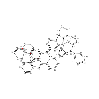 c1ccc(-c2cccc(-c3ccccc3N(c3ccc4c(c3)C3(c5ccccc5-4)c4ccccc4N(c4ccccc4)c4ccccc43)c3ccc4c5ccccc5c5ccccc5c4c3)c2)cc1